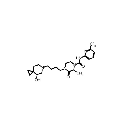 C[C@H]1C(=O)N(CCCCN2CCC3(CC3)[C@H](O)C2)CCN1C(=O)Nc1cccc(C(F)(F)F)n1